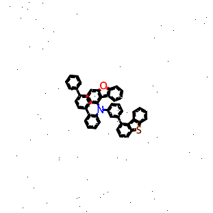 c1ccc(-c2ccc(-c3ccccc3N(c3cccc(-c4cccc5sc6ccccc6c45)c3)c3cccc4oc5ccccc5c34)cc2)cc1